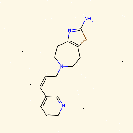 Nc1nc2c(s1)CCN(C/C=C\c1cccnc1)CC2